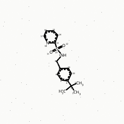 CC(C)(C)c1ccc(CNS(=O)(=O)c2ccccn2)cc1